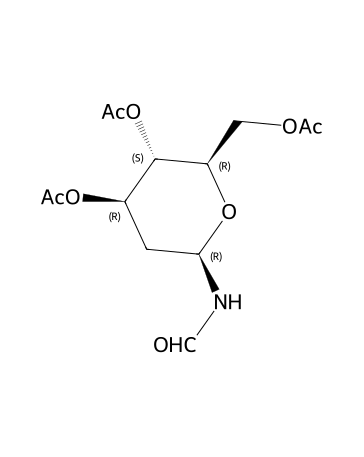 CC(=O)OC[C@H]1O[C@@H](NC=O)C[C@@H](OC(C)=O)[C@@H]1OC(C)=O